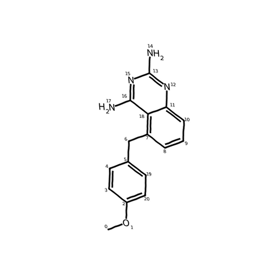 COc1ccc(Cc2cccc3nc(N)nc(N)c23)cc1